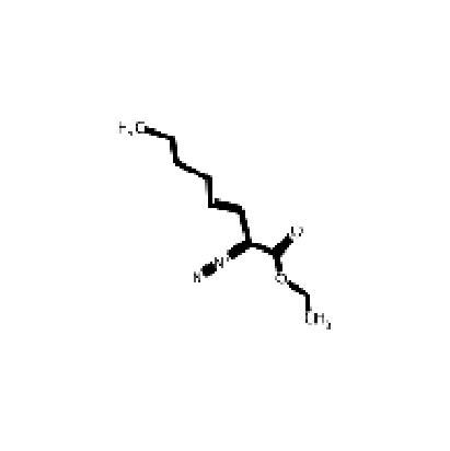 CCCCC=CC(=[N+]=[N-])C(=O)OCC